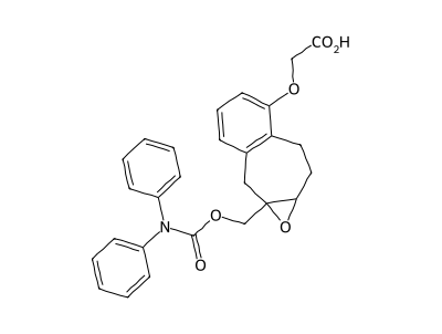 O=C(O)COc1cccc2c1CCC1OC1(COC(=O)N(c1ccccc1)c1ccccc1)C2